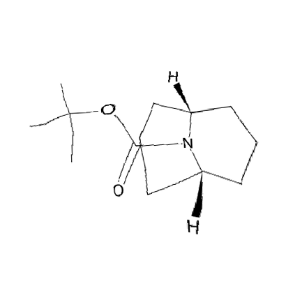 CC(C)(C)OC(=O)N1[C@H]2CCC[C@@H]1CCC2